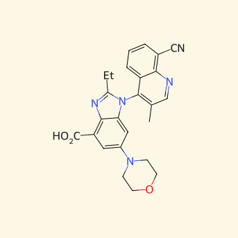 CCc1nc2c(C(=O)O)cc(N3CCOCC3)cc2n1-c1c(C)cnc2c(C#N)cccc12